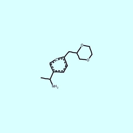 CC(N)c1ccc(CC2COCCO2)cc1